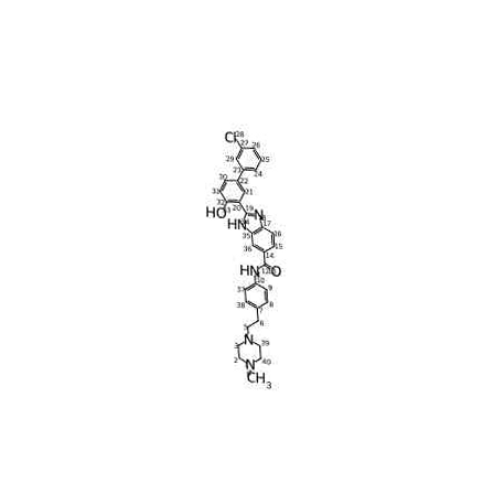 CN1CCN(CCc2ccc(NC(=O)c3ccc4nc(-c5cc(-c6cccc(Cl)c6)ccc5O)[nH]c4c3)cc2)CC1